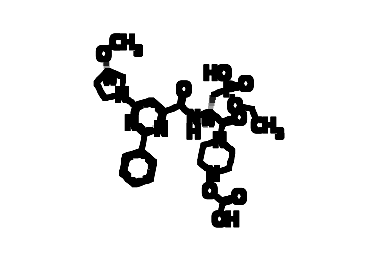 CCOP(=O)(O)C[C@@H](NC(=O)c1cc(N2CC[C@H](OC)C2)nc(-c2ccccc2)n1)C(=O)N1CCN(OC(=O)O)CC1